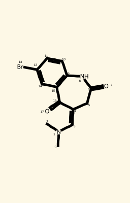 CN(C)C=C1CC(=O)Nc2ccc(Br)cc2C1=O